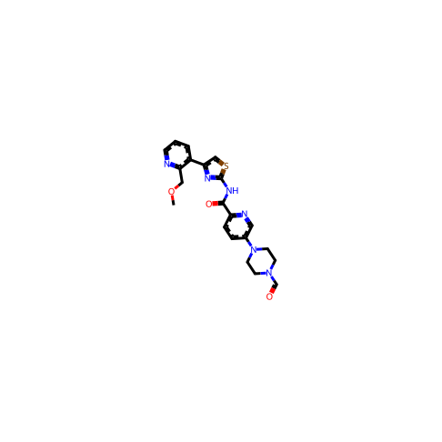 COCc1ncccc1-c1csc(NC(=O)c2ccc(N3CCN(C=O)CC3)cn2)n1